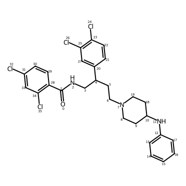 O=C(NCC(CCN1CCC(Nc2ccccc2)CC1)c1ccc(Cl)c(Cl)c1)c1ccc(Cl)cc1Cl